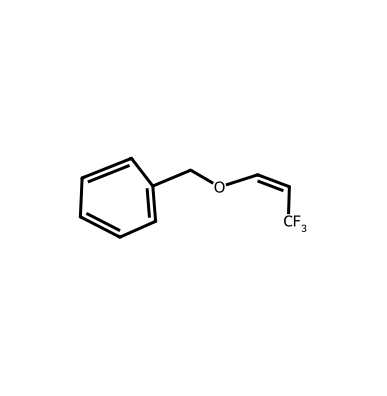 FC(F)(F)/C=C\OCc1ccccc1